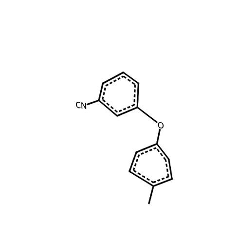 [C-]#[N+]c1cccc(Oc2ccc(C)cc2)c1